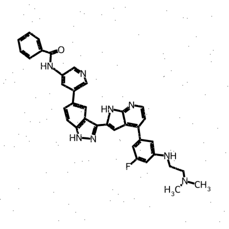 CN(C)CCNc1cc(F)cc(-c2ccnc3[nH]c(-c4n[nH]c5ccc(-c6cncc(NC(=O)c7ccccc7)c6)cc45)cc23)c1